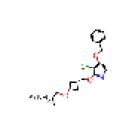 CC(=O)N[C@@H](C)CO[C@H]1C[C@H](COc2nccc(OCc3ccccc3)c2Cl)C1